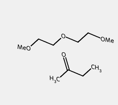 CCC(C)=O.COCCOCCOC